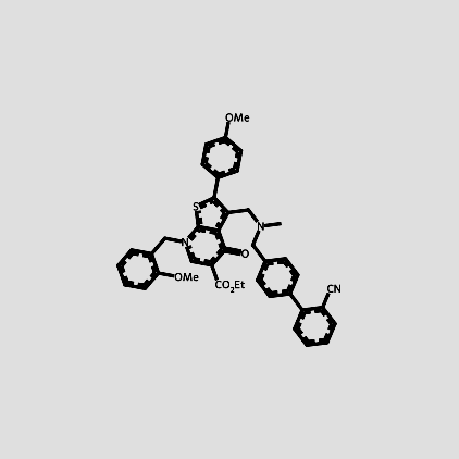 CCOC(=O)c1cn(Cc2ccccc2OC)c2sc(-c3ccc(OC)cc3)c(CN(C)Cc3ccc(-c4ccccc4C#N)cc3)c2c1=O